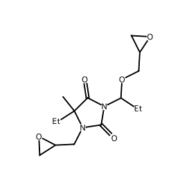 CCC(OCC1CO1)N1C(=O)N(CC2CO2)C(C)(CC)C1=O